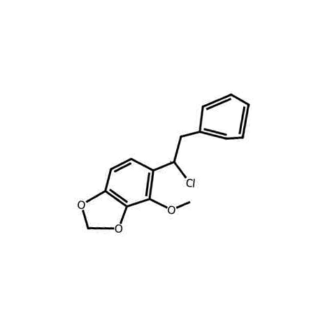 COc1c([C](Cl)Cc2ccccc2)ccc2c1OCO2